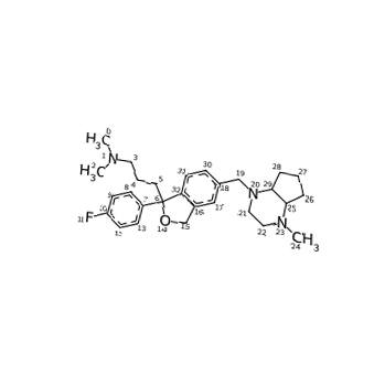 CN(C)CCCC1(c2ccc(F)cc2)OCc2cc(CN3CCN(C)C4CCCC43)ccc21